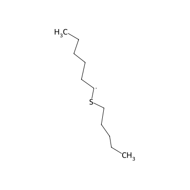 CCCCC[CH]SCCCCC